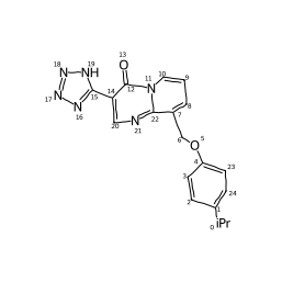 CC(C)c1ccc(OCc2cccn3c(=O)c(-c4nnn[nH]4)cnc23)cc1